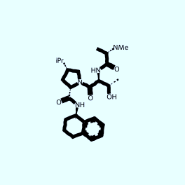 CN[C@@H](C)C(=O)N[C@H](C(=O)N1C[C@@H](C(C)C)C[C@H]1C(=O)N[C@@H]1CCCc2ccccc21)[C@H](C)O